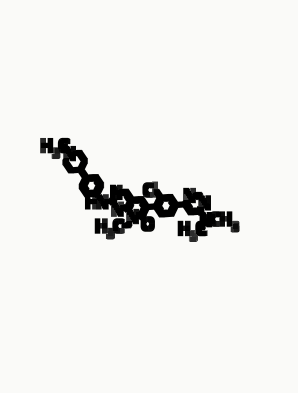 CCn1c(=O)c(-c2ccc(-c3cc(N(C)C)ncn3)cc2Cl)cc2cnc(Nc3ccc(C4CCN(C)CC4)cc3)nc21